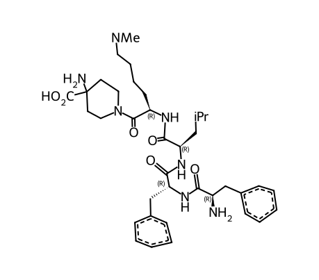 CNCCCC[C@@H](NC(=O)[C@@H](CC(C)C)NC(=O)[C@@H](Cc1ccccc1)NC(=O)[C@H](N)Cc1ccccc1)C(=O)N1CCC(N)(C(=O)O)CC1